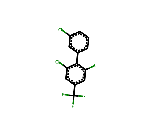 FC(F)(F)c1cc(Cl)c(-c2cccc(Cl)c2)c(Cl)c1